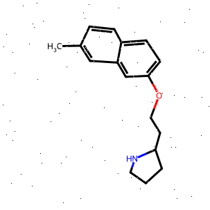 Cc1ccc2ccc(OCCC3CCCN3)cc2c1